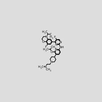 CC(C)Oc1nc(Nc2ncc(F)c(-c3cc(F)c4c(c3)N(C(C)C)CCO4)n2)ccc1C1CCN(CCN(C)C)CC1